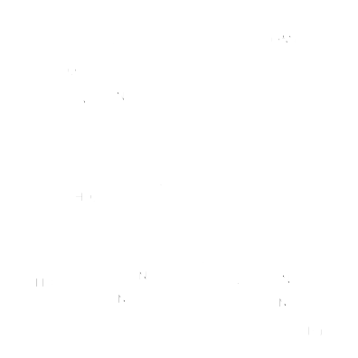 COc1ccc([C@@H](C)N2CC([C@@H](C)Oc3cc(-c4cnn(C(C)(C)C)c4)cn4nc(C)cc34)CC2=O)cc1